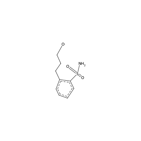 NS(=O)(=O)c1ccccc1CCC[O]